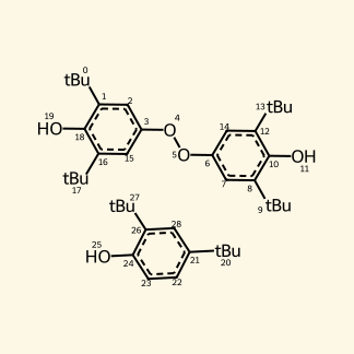 CC(C)(C)c1cc(OOc2cc(C(C)(C)C)c(O)c(C(C)(C)C)c2)cc(C(C)(C)C)c1O.CC(C)(C)c1ccc(O)c(C(C)(C)C)c1